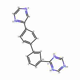 c1cc(-c2ccc(-c3cnccn3)cc2)cc(-c2ncncn2)c1